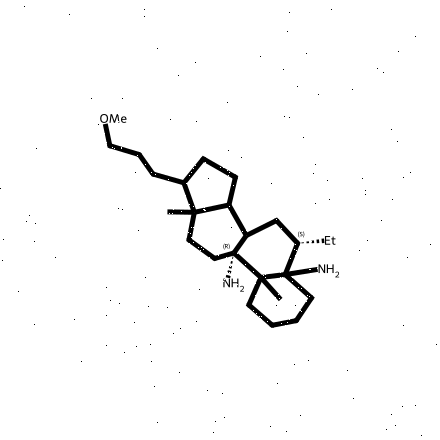 CC[C@H]1CC2C3CCC(CCCOC)C3(C)CC[C@]2(N)C2(C)CCCCC12N